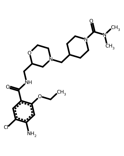 CCOc1cc(N)c(Cl)cc1C(=O)NCC1CN(CC2CCN(C(=O)N(C)C)CC2)CCO1